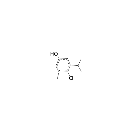 Cc1cc(O)cc(C(C)C)c1Cl